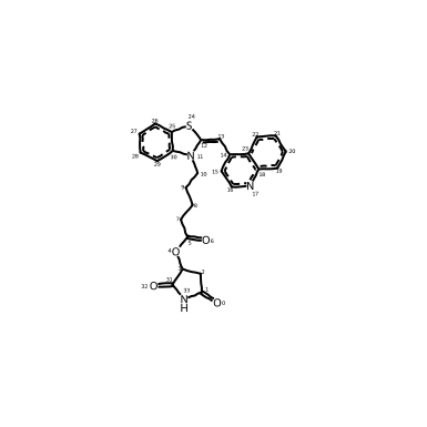 O=C1CC(OC(=O)CCCCN2/C(=C\c3ccnc4ccccc34)Sc3ccccc32)C(=O)N1